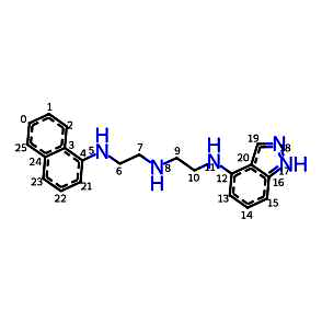 c1ccc2c(NCCNCCNc3cccc4[nH]ncc34)cccc2c1